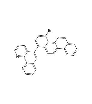 Brc1ccc(-c2cc3cccnc3c3ncccc23)c2ccc3c4ccccc4ccc3c12